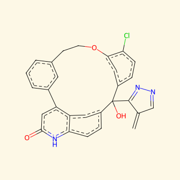 C=C1C=NN=C1C1(O)c2ccc(Cl)c(c2)OCCc2cccc(c2)-c2cc(=O)[nH]c3ccc1cc23